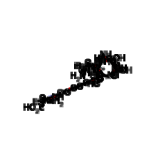 CCC(CC(=O)O)C(=O)NC/C(N)=C/NCCOCCOCCOCCOCCOCCSCc1c(O)ccc2c3c([nH]c12)[S+]([O-])CC(NC(=O)CNC(=O)[C@@H](NC(=O)CN)[C@@H](C)CC)C(=O)N[C@@H](CC(N)=O)C(=O)N1C[C@H](O)CC1C(=O)N[C@@H]([C@@H](C)[C@@H](O)CO)C(=O)N[C@H](C)C3